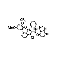 COc1cc(OC(F)(F)F)cc(-c2cccc3c(Cl)c([C@H](C)Nc4ncnc5[nH]ccc(=O)c45)n(-c4ccccc4)c(=O)c23)c1